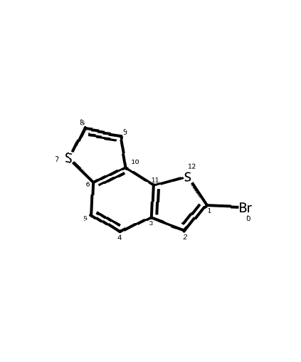 Brc1cc2ccc3sccc3c2s1